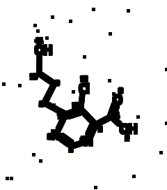 O=C(O)c1ncnc(CCCO)c1Cl